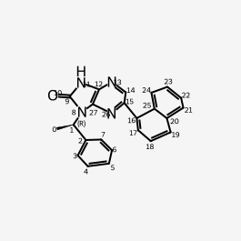 C[C@H](c1ccccc1)n1c(=O)[nH]c2ncc(-c3cccc4ccccc34)nc21